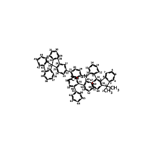 CC1(C)c2ccccc2-c2c(-c3ccccc3N(c3ccc(-c4ccc5c(c4)-c4ccccc4C54c5ccccc5-c5ccccc54)cc3)c3ccccc3-c3ccccc3-c3ccccc3)cccc21